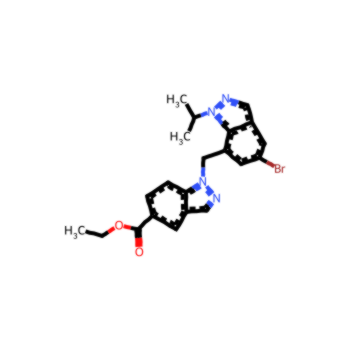 CCOC(=O)c1ccc2c(cnn2Cc2cc(Br)cc3cnn(C(C)C)c23)c1